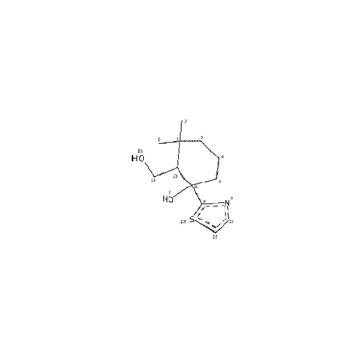 CC1(C)CCCC(O)(c2nccs2)C1CO